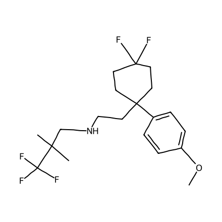 COc1ccc(C2(CCNCC(C)(C)C(F)(F)F)CCC(F)(F)CC2)cc1